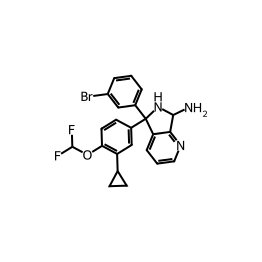 NC1NC(c2cccc(Br)c2)(c2ccc(OC(F)F)c(C3CC3)c2)c2cccnc21